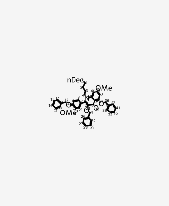 CCCCCCCCCCCCCCn1c(-c2ccc(OCc3ccccc3)c(OC)c2)c(OCc2ccccc2)c(=O)c2c(OCc3ccccc3)cc(OC)cc21